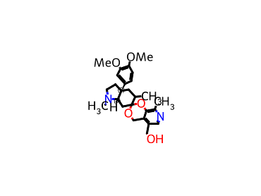 COc1ccc([C@]23CCN(C)[C@H]2CC2(OCc4c(CO)cnc(C)c4O2)C(C)C3)cc1OC